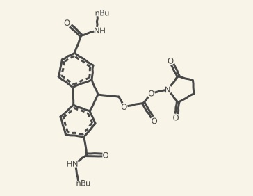 CCCCNC(=O)c1ccc2c(c1)C(COC(=O)ON1C(=O)CCC1=O)c1cc(C(=O)NCCCC)ccc1-2